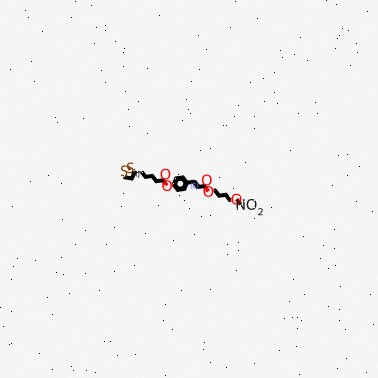 O=C(/C=C/c1ccc(OC(=O)CCCC[C@@H]2CCSS2)cc1)OCCCCO[N+](=O)[O-]